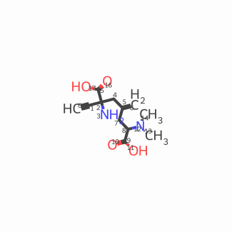 C#CC(N)(CC(=C)CC(C(=O)O)N(C)C)C(=O)O